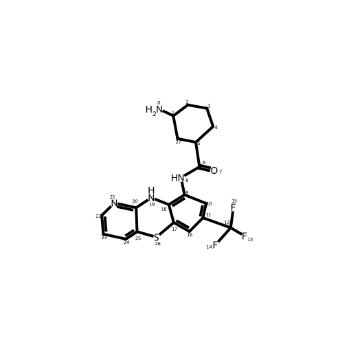 NC1CCCC(C(=O)Nc2cc(C(F)(F)F)cc3c2Nc2ncccc2S3)C1